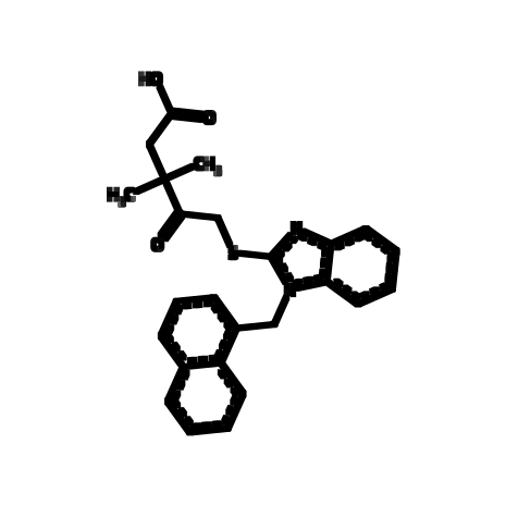 CC(C)(CC(=O)O)C(=O)CSc1nc2ccccc2n1Cc1cccc2ccccc12